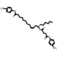 CCCCCC[C@H](C/C=C\CCCCCCCC(=O)Oc1ccc(N)cc1)OC(=O)CCC(=O)Oc1ccc(N)cc1